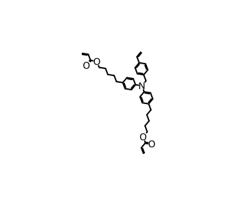 C=CC(=O)OCCCCCc1ccc(N(Cc2ccc(C=C)cc2)c2ccc(CCCCCOC(=O)C=C)cc2)cc1